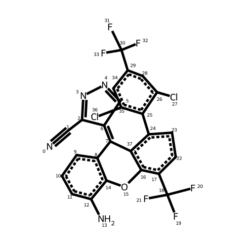 N#CC1=NN=CC1=C1c2cccc(N)c2Oc2c(C(F)(F)F)ccc(-c3c(Cl)cc(C(F)(F)F)cc3Cl)c21